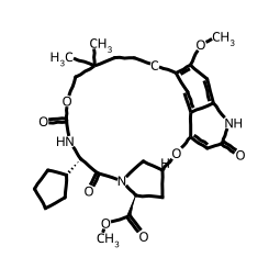 COC(=O)[C@@H]1C[C@@H]2CN1C(=O)[C@H](C1CCCC1)NC(=O)OCC(C)(C)CCCc1cc3c(cc(=O)[nH]c3cc1OC)O2